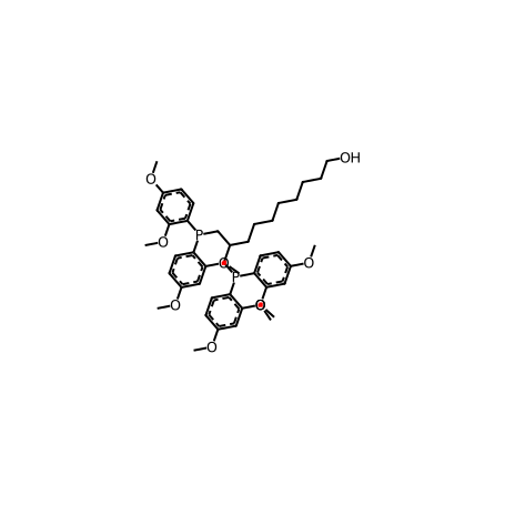 COc1ccc(P(CC(CCCCCCCCO)CP(c2ccc(OC)cc2OC)c2ccc(OC)cc2OC)c2ccc(OC)cc2OC)c(OC)c1